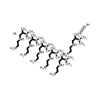 CC(CNCCN)N(C)C.CC(CNCCN)N(C)C.CC(CNCCN)N(C)C.CC(CNCCN)N(C)C.CC(CNCCN)N(C)C.CC(CNCCN)N(C)C.I.I.I.I.I.I